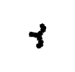 C1=C(c2ccc3oc4ccccc4c3c2)CCC(N(c2ccc(-c3ccccc3)cc2)c2ccc(-c3ccc4sc5ccccc5c4c3)cc2)=C1